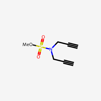 C#CCN(CC#C)S(=O)(=O)OC